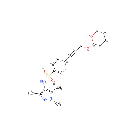 Cc1nn(C)c(C)c1NS(=O)(=O)c1ccc(C#CCOC2CCCCO2)cc1